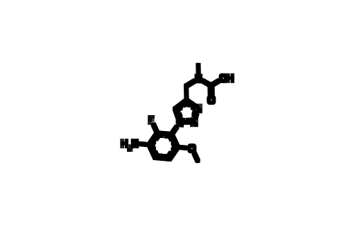 COc1ccc(N)c(F)c1-n1cc(CN(C)C(=O)O)nn1